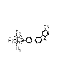 CC1(C)OB(c2ccc(-c3ccc4sc5ccc(C#N)cc5c4c3)cc2)OC1(C)C